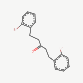 O=C(CCc1ccccc1Br)CCc1ccccc1Br